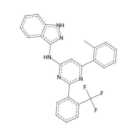 Cc1ccccc1-c1cc(Nc2n[nH]c3ccccc23)nc(-c2ccccc2C(F)(F)F)n1